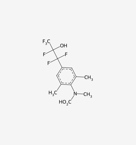 Cc1cc(C(F)(F)C(O)(F)C(F)(F)F)cc(C)c1N(C)C(=O)O